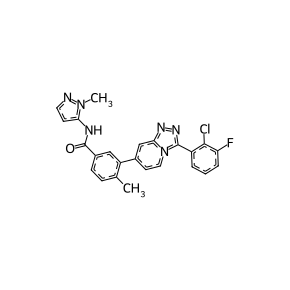 Cc1ccc(C(=O)Nc2ccnn2C)cc1-c1ccn2c(-c3cccc(F)c3Cl)nnc2c1